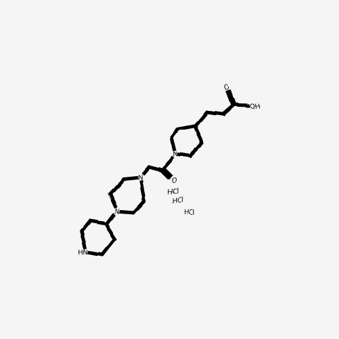 Cl.Cl.Cl.O=C(O)CCC1CCN(C(=O)CN2CCN(C3CCNCC3)CC2)CC1